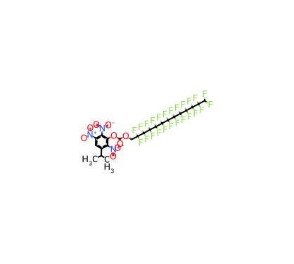 CC(C)c1cc([N+](=O)[O-])c([N+](=O)[O-])c(OC(=O)OCC(F)(F)C(F)(F)C(F)(F)C(F)(F)C(F)(F)C(F)(F)C(F)(F)C(F)(F)C(F)(F)C(F)(F)C(F)(F)C(F)F)c1[N+](=O)[O-]